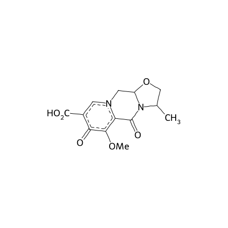 COc1c2n(cc(C(=O)O)c1=O)CC1OCC(C)N1C2=O